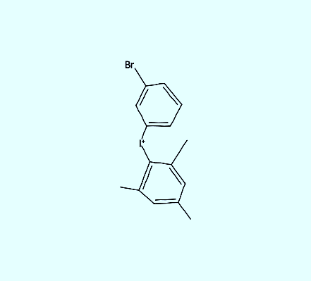 Cc1cc(C)c([I+]c2cccc(Br)c2)c(C)c1